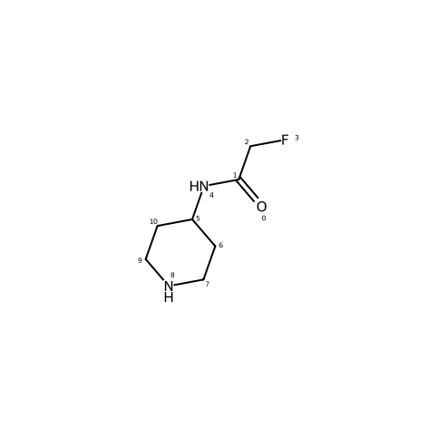 O=C(CF)NC1CCNCC1